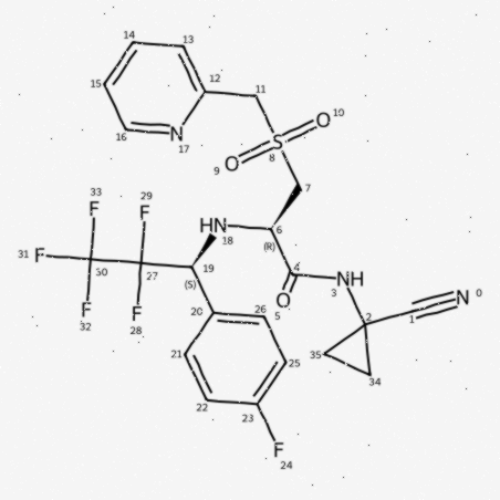 N#CC1(NC(=O)[C@H](CS(=O)(=O)Cc2ccccn2)N[C@@H](c2ccc(F)cc2)C(F)(F)C(F)(F)F)CC1